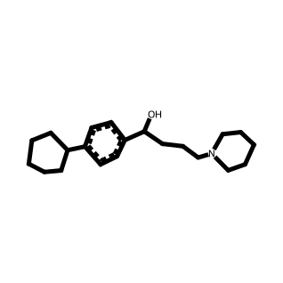 OC(CCCN1CCCCC1)c1ccc(C2CCCCC2)cc1